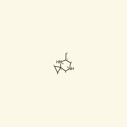 CC1CNCC2([CH]C2)N1